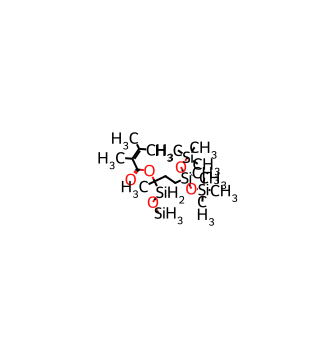 CC(C)=C(C)C(=O)OC(C)(CC[Si](C)(O[Si](C)(C)C)O[Si](C)(C)C)[SiH2]O[SiH3]